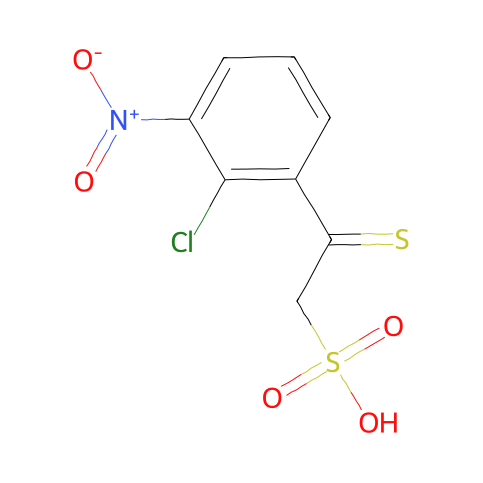 O=[N+]([O-])c1cccc(C(=S)CS(=O)(=O)O)c1Cl